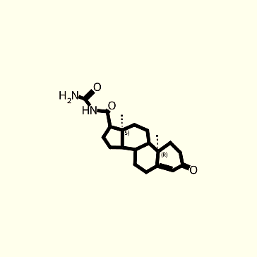 C[C@]12CCC3C(CCC4=CC(=O)CC[C@@]43C)C1CCC2C(=O)NC(N)=O